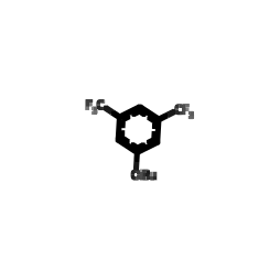 CC(C)COc1cc(C(F)(F)F)cc(C(F)(F)F)c1